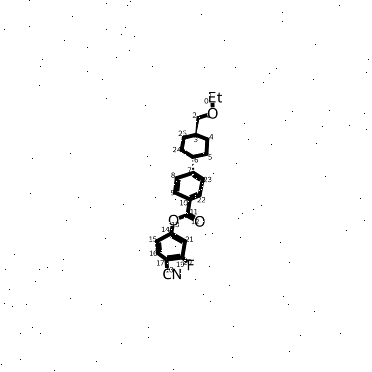 CCOC[C@H]1CC[C@H](c2ccc(C(=O)Oc3ccc(C#N)c(F)c3)cc2)CC1